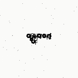 Cc1cc(C)nc(N2CCN(c3ccc(NC(=O)C(=O)c4c(-c5ccccc5)cc5ccc(F)cn45)cc3C)CC2)c1